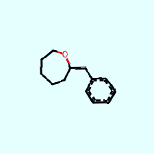 c1ccc(CC2CCCCCO2)cc1